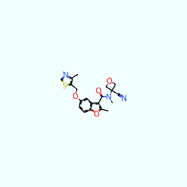 Cc1ncsc1COc1ccc2oc(C)c(C(=O)N(C)C3(C#N)COC3)c2c1